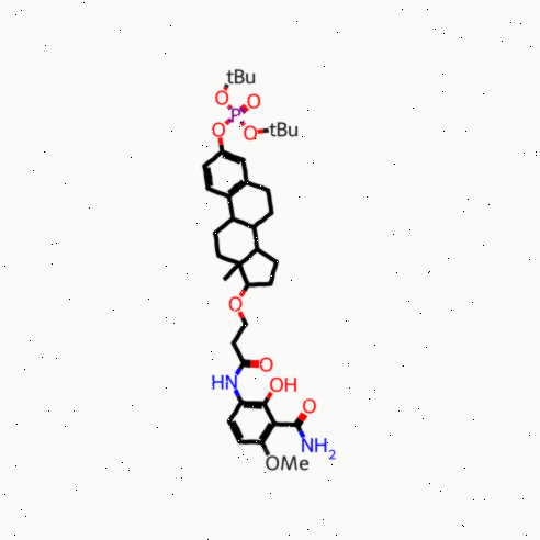 COc1ccc(NC(=O)CCOC2CCC3C4CCc5cc(OP(=O)(OC(C)(C)C)OC(C)(C)C)ccc5C4CCC23C)c(O)c1C(N)=O